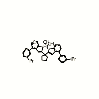 CC(C)c1cccc(-c2cccc3c2C=C2[CH]3[Hf]([CH3])([CH3])[CH]3C(=Cc4c(-c5cccc(C(C)C)c5)cccc43)C23CCCC3)c1